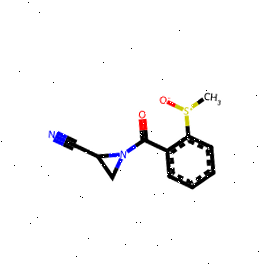 C[S+]([O-])c1ccccc1C(=O)N1CC1C#N